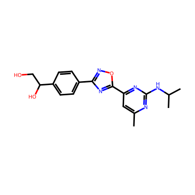 Cc1cc(-c2nc(-c3ccc(C(O)CO)cc3)no2)nc(NC(C)C)n1